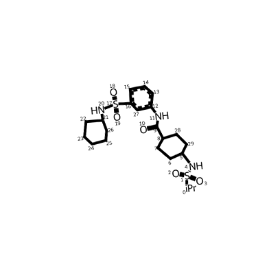 CC(C)S(=O)(=O)NC1CCC(C(=O)Nc2cccc(S(=O)(=O)NC3CCCCC3)c2)CC1